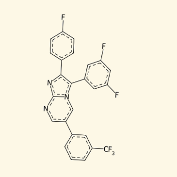 Fc1ccc(-c2nc3ncc(-c4cccc(C(F)(F)F)c4)cn3c2-c2cc(F)cc(F)c2)cc1